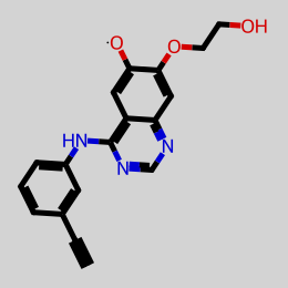 C#Cc1cccc(Nc2ncnc3cc(OCCO)c([O])cc23)c1